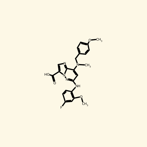 COc1ccc(CN(C)c2cc(Nc3ccc(F)cc3OC)nn3c(C(=O)O)cnc23)cc1